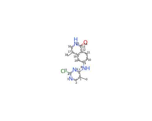 Cc1cnc(Cl)nc1Nc1ccc2c(=O)[nH]cc(C)c2c1